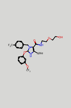 CNC1=C(C(=O)NCCOCCO)N(Cc2ccc(C(F)(F)F)cc2)C(Oc2cccc(OC(F)(F)F)c2)N1